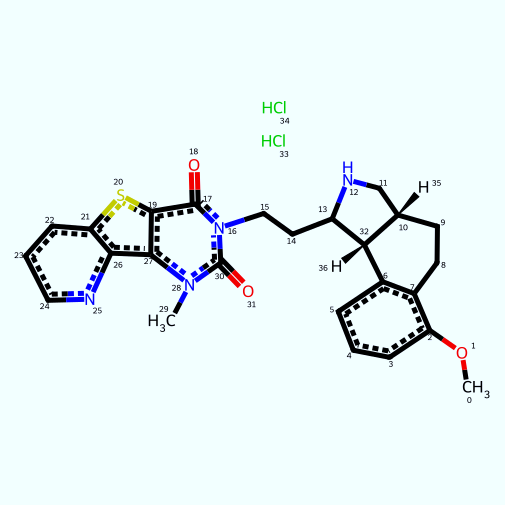 COc1cccc2c1CC[C@H]1CNC(CCn3c(=O)c4sc5cccnc5c4n(C)c3=O)[C@@H]21.Cl.Cl